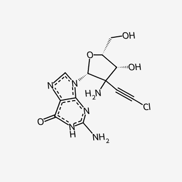 Nc1nc2c(ncn2[C@@H]2O[C@H](CO)[C@H](O)C2(N)C#CCl)c(=O)[nH]1